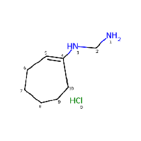 Cl.NCNC1=CCCCCC1